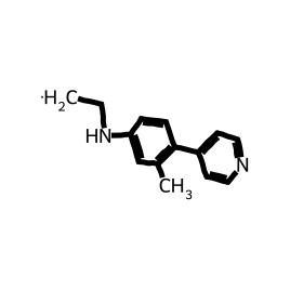 [CH2]CNc1ccc(-c2ccncc2)c(C)c1